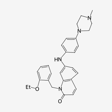 CCOc1ccccc1Cn1c(=O)ccc2ccc(Nc3ccc(N4CCN(C)CC4)cc3)cc21